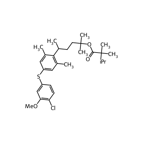 COc1cc(Sc2cc(C)c(C(C)CCC(C)(C)OC(=O)C(C)(C)C(C)C)c(C)c2)ccc1Cl